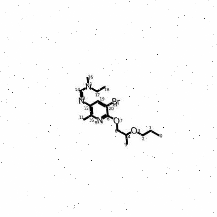 CCCOC(C)COc1nc(C)c(/N=C\N(C)CC)cc1Br